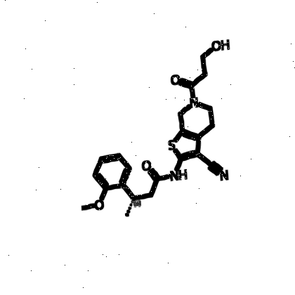 COc1ccccc1[C@@H](C)CC(=O)Nc1sc2c(c1C#N)CCN(C(=O)CCO)C2